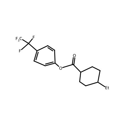 CCC1CCC(C(=O)Oc2ccc(C(F)(F)C(F)(F)F)cc2)CC1